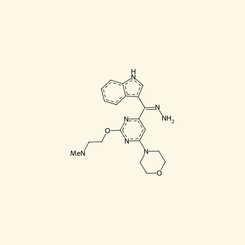 CNCCOc1nc(/C(=N\N)c2c[nH]c3ccccc23)cc(N2CCOCC2)n1